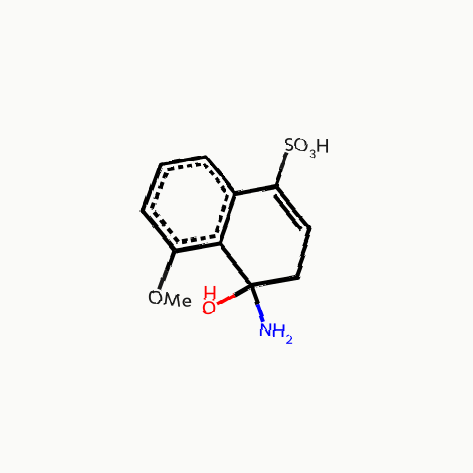 COc1cccc2c1C(N)(O)CC=C2S(=O)(=O)O